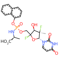 C[C@H](NP(=O)(OC[C@@]1(F)O[C@@H](n2ccc(=O)[nH]c2=O)[C@](C)(F)[C@@H]1O)Oc1cccc2ccccc12)C(=O)O